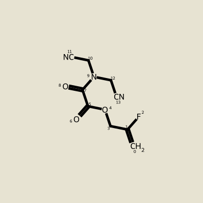 C=C(F)COC(=O)C(=O)N(CC#N)CC#N